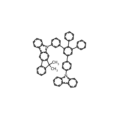 CC1(C)c2ccccc2-c2cc3c4ccccc4n(-c4cccc(-c5cc(-c6ccc(-n7c8ccccc8c8ccccc87)cc6)cc(-c6ccccc6)c5-c5ccccc5)c4)c3cc21